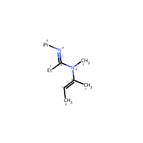 C/C=C(\C)N(C)/C(CC)=N/C(C)C